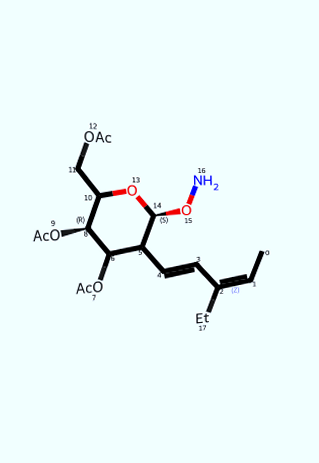 C/C=C(\C=CC1C(OC(C)=O)[C@@H](OC(C)=O)C(COC(C)=O)O[C@H]1ON)CC